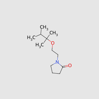 CC(C)C(C)(C)OCCN1CCCC1=O